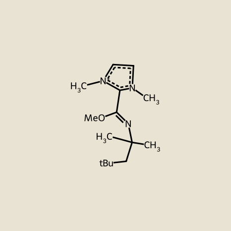 CO/C(=N\C(C)(C)CC(C)(C)C)c1n(C)cc[n+]1C